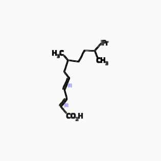 CC(C/C=C/C=C/C(=O)O)CCC(C)C(C)C